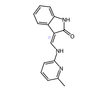 Cc1cccc(N/C=C2\C(=O)Nc3ccccc32)n1